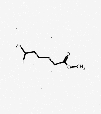 COC(=O)CCCC[CH]([Zn])I